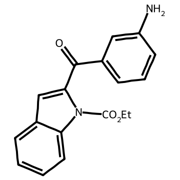 CCOC(=O)n1c(C(=O)c2cccc(N)c2)cc2ccccc21